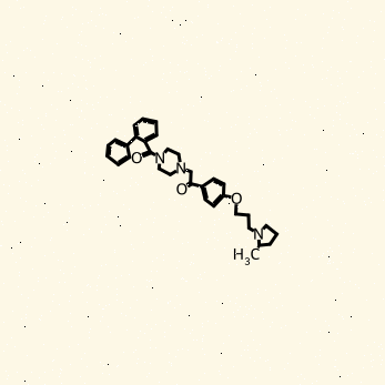 C[C@@H]1CCCN1CCCOc1ccc(C(=O)CN2CCN(C(=O)c3ccccc3-c3ccccc3)CC2)cc1